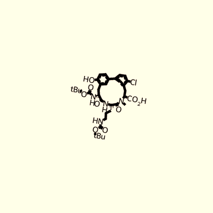 CN1C(=O)[C@H](CCCNC(=O)OC(C)(C)C)NC(=O)[C@@H](NC(=O)OC(C)(C)C)Cc2cc(ccc2O)-c2ccc(Cl)c(c2)CC1C(=O)O